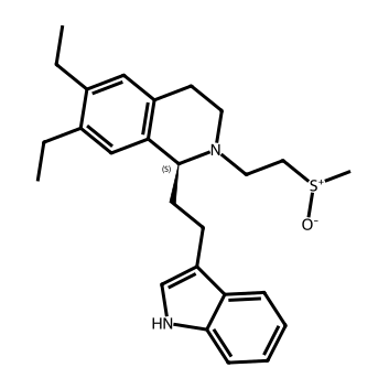 CCc1cc2c(cc1CC)[C@H](CCc1c[nH]c3ccccc13)N(CC[S+](C)[O-])CC2